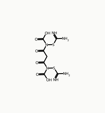 N=C(N)SN(C(=O)O)C(=O)CC(=O)N(SC(=N)N)C(=O)O